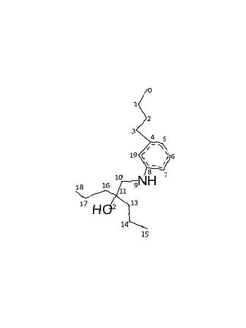 CCCCc1cccc(NCC(O)(CCC)CCC)c1